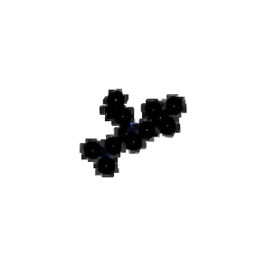 C[Si]1(C)c2ccccc2-c2ccc(-c3cc(-c4ccc(N(c5ccccc5)c5ccccc5)cc4)c4cccc(-c5ccc(-c6c7ccccc7c(-c7ccccc7)c7ccccc67)cc5)c4n3)cc21